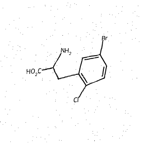 NC(Cc1cc(Br)ccc1Cl)C(=O)O